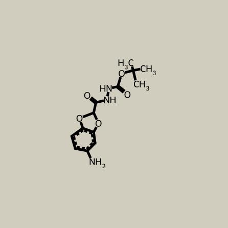 CC(C)(C)OC(=O)NNC(=O)C1Oc2ccc(N)cc2O1